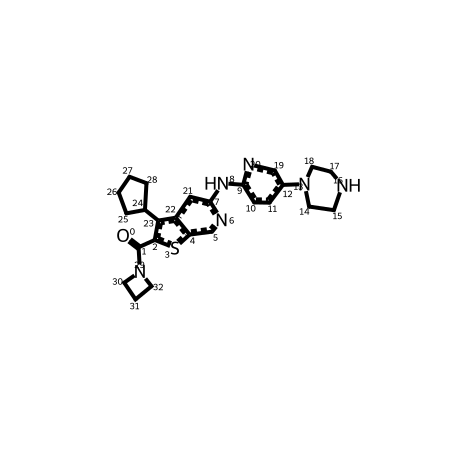 O=C(c1sc2cnc(Nc3ccc(N4CCNCC4)cn3)cc2c1C1CCCC1)N1CCC1